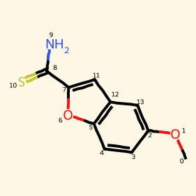 COc1ccc2oc(C(N)=S)cc2c1